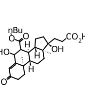 CCCCOC(=O)C1C(O)C2=CC(=O)CC[C@]2(C)[C@H]2CC[C@@]3(C)[C@@H](CC[C@]3(O)CCC(=O)O)[C@H]12